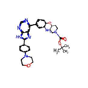 CC(C)(C)OC(=O)N1CCC(Oc2ccc(-c3ncnc4[nH]c(-c5ccc(N6CCOCC6)cc5)nc34)cc2N)CC1